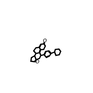 O=C1C=C2CCC3C(=C2CC1)C(c1ccc(C2CCCCC2)cc1)CC12OC1CCC32